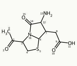 CC(=O)C1CSC2C(CC(=O)O)C(N)C(=O)N12